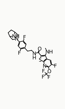 CNc1c(C(=O)NCCc2cc(F)c(N3CC4CCC(C3)N4)cc2F)sc2nc(OC(F)(F)F)c(F)cc12